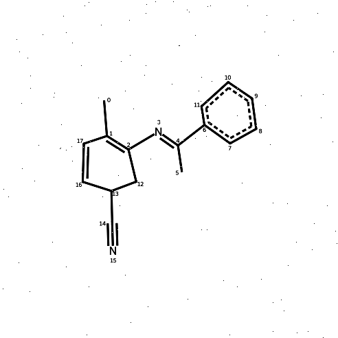 CC1=C(/N=C(\C)c2ccccc2)CC(C#N)C=C1